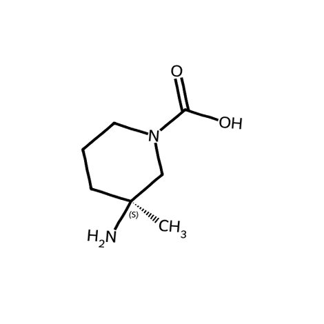 C[C@]1(N)CCCN(C(=O)O)C1